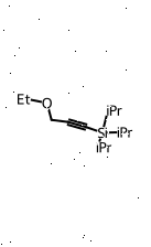 CCOCC#C[Si](C(C)C)(C(C)C)C(C)C